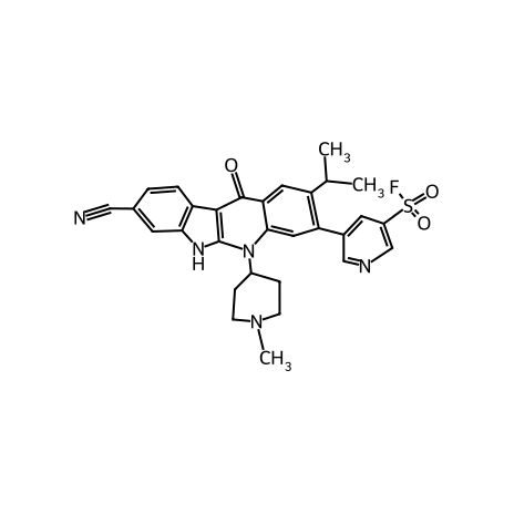 CC(C)c1cc2c(=O)c3c4ccc(C#N)cc4[nH]c3n(C3CCN(C)CC3)c2cc1-c1cncc(S(=O)(=O)F)c1